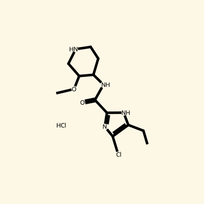 CCc1[nH]c(C(=O)NC2CCNCC2OC)nc1Cl.Cl